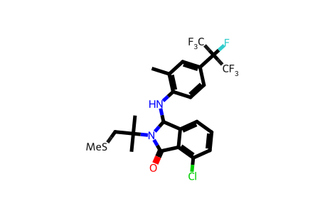 CSCC(C)(C)N1C(=O)c2c(Cl)cccc2C1Nc1ccc(C(F)(C(F)(F)F)C(F)(F)F)cc1C